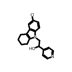 OC(Cn1c2c(c3cc(Cl)ccc31)CCCC2)c1ccncc1